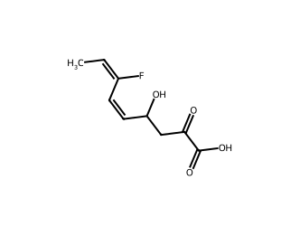 C/C=C(F)\C=C/C(O)CC(=O)C(=O)O